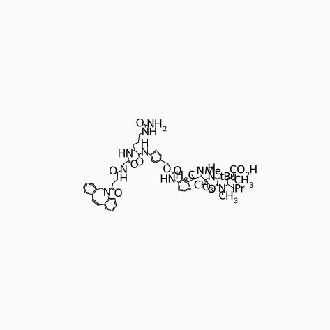 CNC(C(=O)NC(C(=O)N(C)C(/C=C(\C)C(=O)O)C(C)C)C(C)(C)C)C(C)(C)c1cccc(NC(=O)OCc2ccc(NC(=O)C(CCCNC(N)=O)NC(=O)CNC(=O)CCC(=O)N3Cc4ccccc4C#Cc4ccccc43)cc2)c1